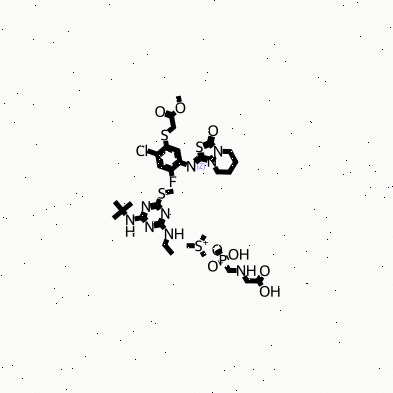 CCNc1nc(NC(C)(C)C)nc(SC)n1.COC(=O)CSc1cc(/N=c2\sc(=O)n3n2CCCC3)c(F)cc1Cl.C[S+](C)C.O=C(O)CNCP(=O)([O-])O